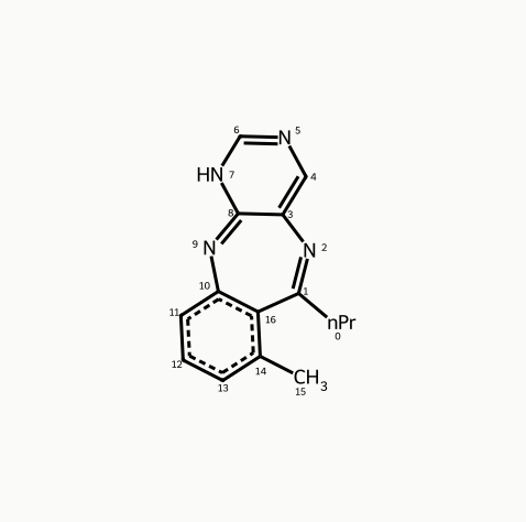 CCCC1=NC2=CN=CNC2=Nc2cccc(C)c21